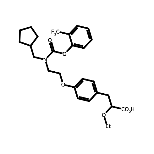 CCOC(Cc1ccc(OCCN(CC2CCCC2)C(=O)Oc2ccccc2C(F)(F)F)cc1)C(=O)O